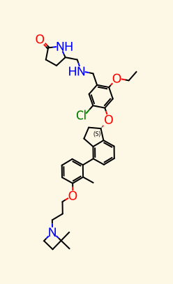 CCOc1cc(O[C@H]2CCc3c(-c4cccc(OCCCN5CCC5(C)C)c4C)cccc32)c(Cl)cc1CNCC1CCC(=O)N1